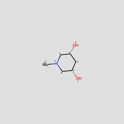 CC(C)(C)N1C[C@H](O)C[C@H](O)C1